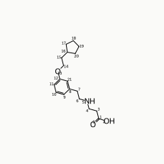 O=C(O)CCNCCc1cccc(OCCC2CCCC2)c1